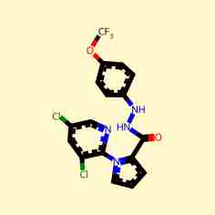 O=C(NNc1ccc(OC(F)(F)F)cc1)c1cccn1-c1ncc(Cl)cc1Cl